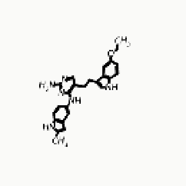 CCOc1ccc2[nH]cc(CCc3cnc(N)nc3Nc3ccc4[nH]c(C)cc4c3)c2c1